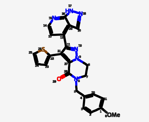 COc1ccc(CN2CCn3nc(-c4ccnc5[nH]ncc45)c(-c4cccs4)c3C2=O)cc1